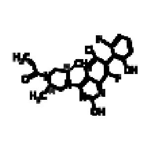 C=CC(=O)N1C[C@H](C)N(c2nc(O)nc3c(F)c(-c4c(O)cccc4F)c(Cl)cc23)C[C@H]1C